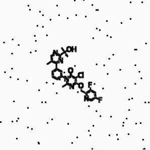 Cc1cnc(C(C)(C)O)nc1-c1cccc(-n2c(C)nc(OCc3ncc(F)cc3F)c(Cl)c2=O)c1